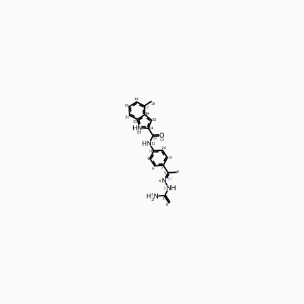 C=C(N)N/N=C(\C)c1ccc(NC(=O)c2cc3c(C)cccc3[nH]2)cc1